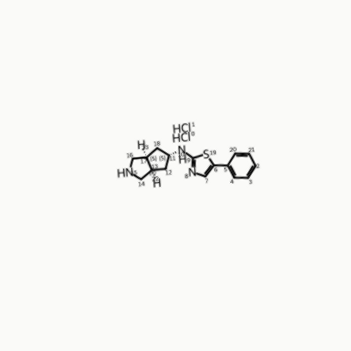 Cl.Cl.c1ccc(-c2cnc(N[C@@H]3C[C@H]4CNC[C@H]4C3)s2)cc1